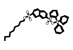 CCCCCCCCCOS(=O)(=O)c1ccc2ccc(S(=O)(=O)O[PH](c3ccccc3)(c3ccccc3)c3ccccc3)cc2c1